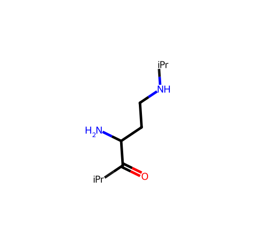 CC(C)NCCC(N)C(=O)C(C)C